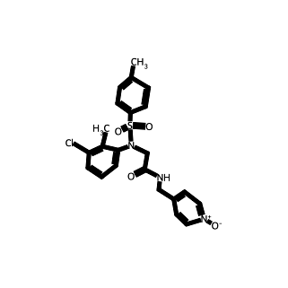 Cc1ccc(S(=O)(=O)N(CC(=O)NCc2cc[n+]([O-])cc2)c2cccc(Cl)c2C)cc1